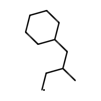 [CH2]CC(C)CC1CCCCC1